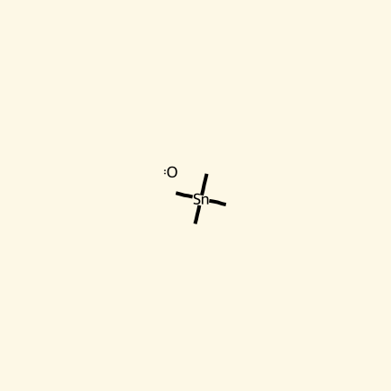 [CH3][Sn]([CH3])([CH3])[CH3].[O]